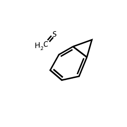 C=S.c1ccc2c(c1)C2